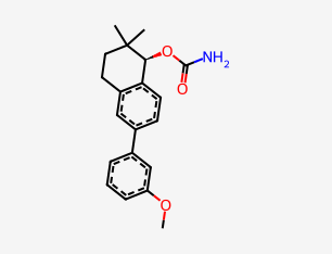 COc1cccc(-c2ccc3c(c2)CCC(C)(C)[C@H]3OC(N)=O)c1